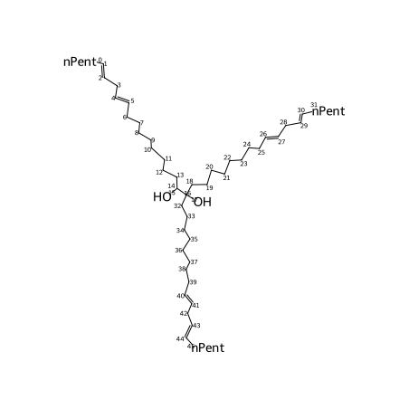 CCCCCC=CCC=CCCCCCCCCC(O)C(O)(CCCCCCCCC=CCC=CCCCCC)CCCCCCCCC=CCC=CCCCCC